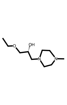 CCOC[C@H](O)CN1CCN(C)CC1